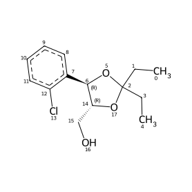 CCC1(CC)O[C@H](c2ccccc2Cl)[C@@H](CO)O1